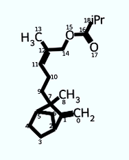 C=C1C2CCC(C2)C1(C)CCC=C(C)COC(=O)C(C)C